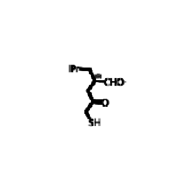 CC(C)C[C@@H]([C]=O)CC(=O)CS